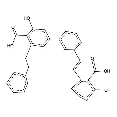 O=C(O)c1c(O)cccc1/C=C/c1cccc(-c2cc(O)c(C(=O)O)c(CCc3ccccc3)c2)c1